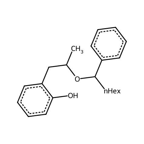 CCCCCCC(OC(C)Cc1ccccc1O)c1ccccc1